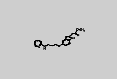 COC(=O)Cc1cc2cc(OCCCNc3ccccn3)ccc2[nH]1